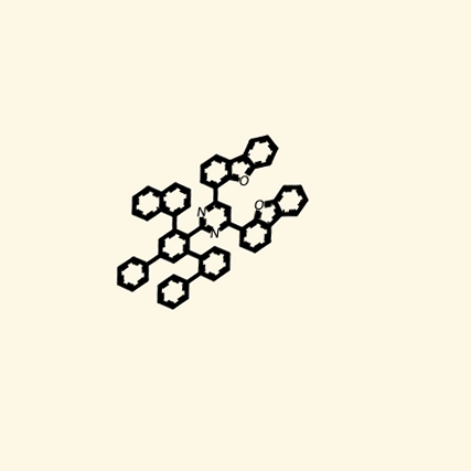 c1ccc(-c2cc(-c3ccccc3-c3ccccc3)c(-c3nc(-c4cccc5c4oc4ccccc45)cc(-c4cccc5c4oc4ccccc45)n3)c(-c3cccc4ccccc34)c2)cc1